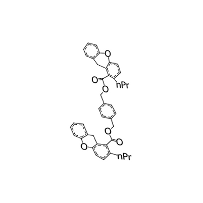 CCCc1ccc2c(c1C(=O)OCc1ccc(COC(=O)c3c(CCC)ccc4c3Cc3ccccc3O4)cc1)Cc1ccccc1O2